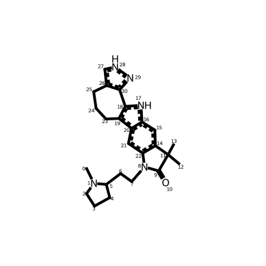 CN1CCCC1CCN1C(=O)C(C)(C)c2cc3[nH]c4c(c3cc21)CCCc1c[nH]nc1-4